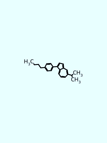 CCCCc1ccc(-c2ccc3cc(C(C)C)cccc2-3)cc1